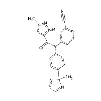 Cc1cc(C(=O)N(c2ccc(C3(C)N=CC=N3)cc2)c2cccc(C#N)c2)[nH]n1